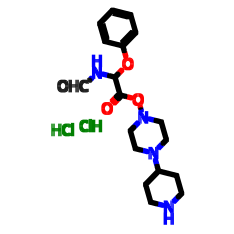 Cl.Cl.O=CNC(Oc1ccccc1)C(=O)ON1CCN(C2CCNCC2)CC1